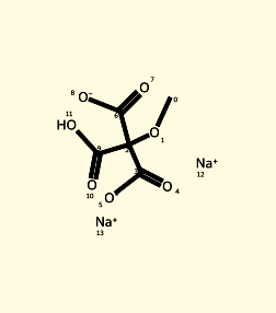 COC(C(=O)[O-])(C(=O)[O-])C(=O)O.[Na+].[Na+]